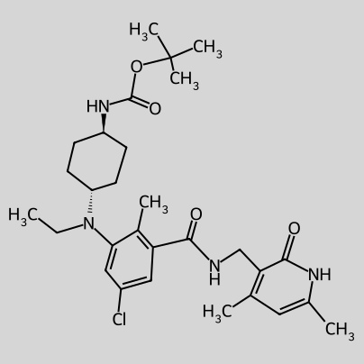 CCN(c1cc(Cl)cc(C(=O)NCc2c(C)cc(C)[nH]c2=O)c1C)[C@H]1CC[C@H](NC(=O)OC(C)(C)C)CC1